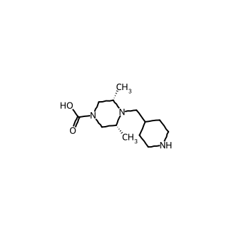 C[C@@H]1CN(C(=O)O)C[C@H](C)N1CC1CCNCC1